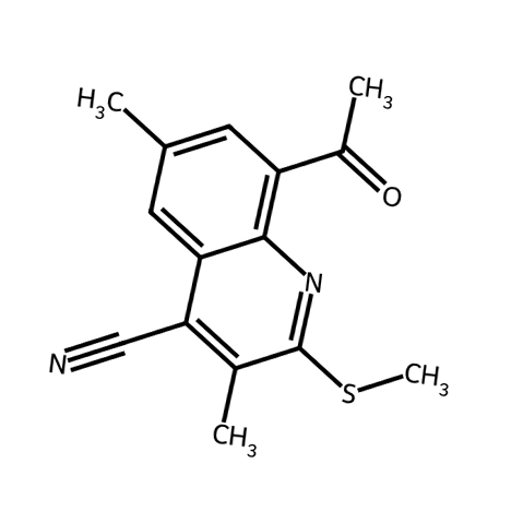 CSc1nc2c(C(C)=O)cc(C)cc2c(C#N)c1C